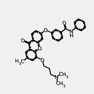 Cc1cc(OCCCN(C)C)c2oc3cc(Oc4cccc(C(=O)Nc5ccccc5)c4)ccc3c(=O)c2c1